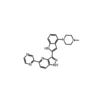 CN1CCN(c2cccc3[nH]c(-c4n[nH]c5ccc(-c6cnccn6)nc45)cc23)CC1